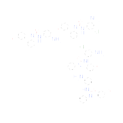 CCc1c(N)cc(Cl)c(CC)c1NC(=O)N(Cc1ccc(OC)cc1)c1ccc(C(C)C)cc1.CCc1ccc(N(Cc2ccc(OC)cc2)C(=O)Nc2c(CC)c(N)cc(Cl)c2CC)cc1.CCc1ccc(N)c(CC)c1NC(=O)N(Cc1ccc(OC)cc1)c1ccc(C(C)C)cc1.COc1ccc(CN(C(=O)Nc2c(C(C)C)ccc(N)c2C(C)C)c2ccc(C(C)C)cc2)cc1